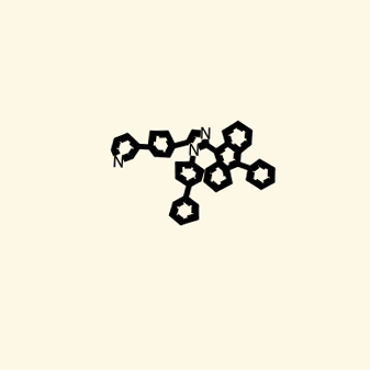 c1ccc(-c2ccc(-n3c(-c4ccc(-c5cccnc5)cc4)cnc3-c3c4ccccc4c(-c4ccccc4)c4ccccc34)cc2)cc1